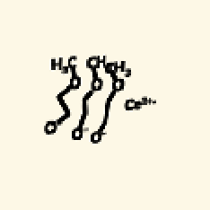 COCC[O-].COCC[O-].COCC[O-].[Ce+3]